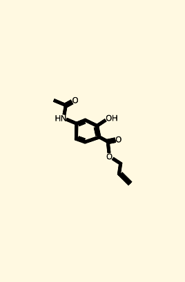 C=CCOC(=O)c1ccc(NC(C)=O)cc1O